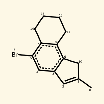 CC1=Cc2cc(Br)c3c(c2C1)CCCC3